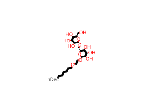 CCCCCCCCCCCCCCCCOCCO[C@H]1O[C@H](CO[C@@H]2O[C@H](CO)[C@H](O)[C@H](O)[C@H]2O)[C@@H](O)[C@H](O)[C@H]1O